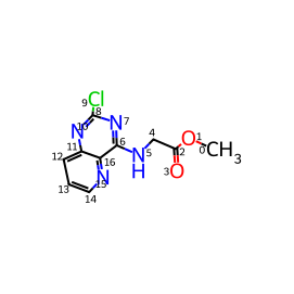 COC(=O)CNc1nc(Cl)nc2cccnc12